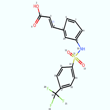 O=C(O)/C=C/c1cccc(NS(=O)(=O)c2ccc(C(F)(F)F)cc2)c1